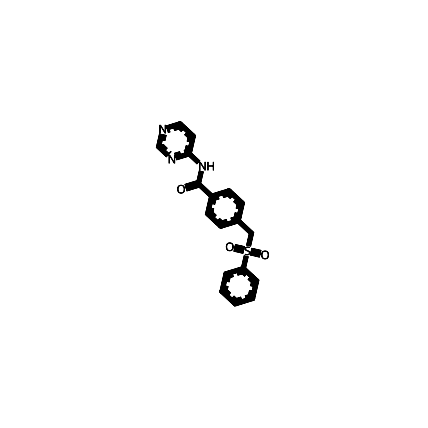 O=C(Nc1ccncn1)c1ccc(CS(=O)(=O)c2ccccc2)cc1